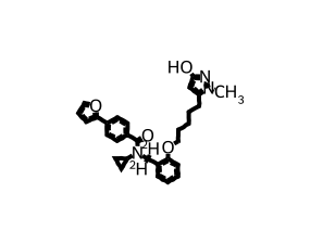 [2H]C([2H])(c1ccccc1OCCCCCc1cc(O)nn1C)N(C(=O)c1ccc(-c2ccco2)cc1)C1CC1